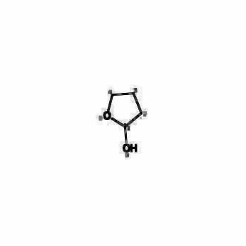 O[C]1CCCO1